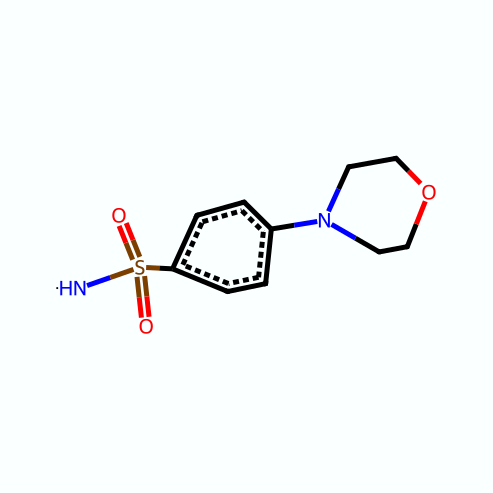 [NH]S(=O)(=O)c1ccc(N2CCOCC2)cc1